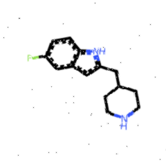 Fc1ccc2[nH]c(CC3CCNCC3)cc2c1